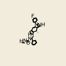 CCNC(=O)NC(C[C@H]1CCC2=C1[C@@H](C)C1=CNN(c3ccc(F)cc3)C1=C2)c1ccccc1